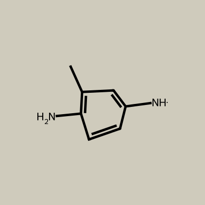 Cc1cc([NH])ccc1N